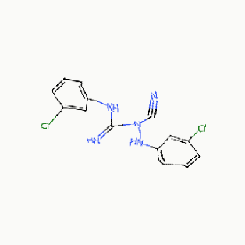 N#CN(Nc1cccc(Cl)c1)C(=N)Nc1cccc(Cl)c1